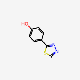 Oc1ccc(-c2nn[c]s2)cc1